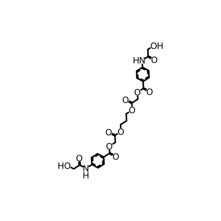 O=C(CO)Nc1ccc(C(=O)OCC(=O)OCCCOC(=O)COC(=O)c2ccc(NC(=O)CO)cc2)cc1